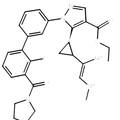 CCOC(=O)c1cnn(-c2cccc(-c3cccc(C(=O)N4CCCC4)c3F)c2)c1[C@@H]1CC1/C(N)=C/NC